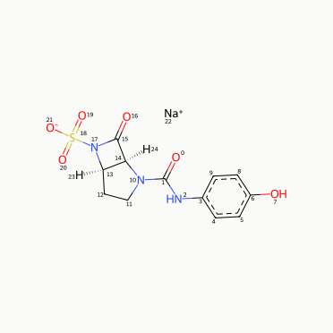 O=C(Nc1ccc(O)cc1)N1CC[C@@H]2[C@H]1C(=O)N2S(=O)(=O)[O-].[Na+]